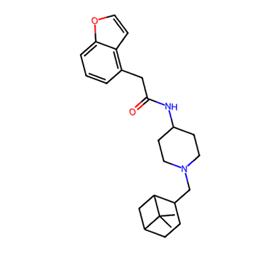 CC1(C)C2CCC(CN3CCC(NC(=O)Cc4cccc5occc45)CC3)C1C2